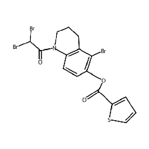 O=C(Oc1ccc2c(c1Br)CCCN2C(=O)C(Br)Br)c1cccs1